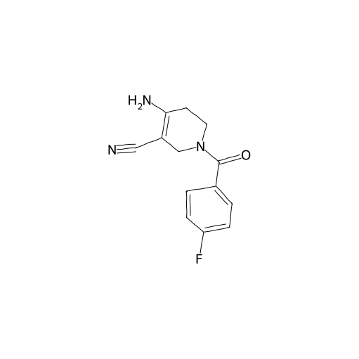 N#CC1=C(N)CCN(C(=O)c2ccc(F)cc2)C1